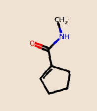 [CH2]NC(=O)C1=CCCC1